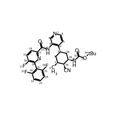 C[C@H]1C[C@@H](c2ccncc2NC(=O)c2ccc(F)c(-c3c(F)cccc3F)n2)C[C@@H](NC(=O)OC(C)(C)C)[C@H]1C#N